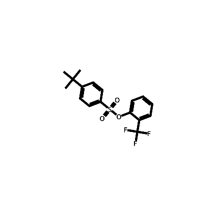 CC(C)(C)c1ccc(S(=O)(=O)Oc2ccccc2C(F)(F)F)cc1